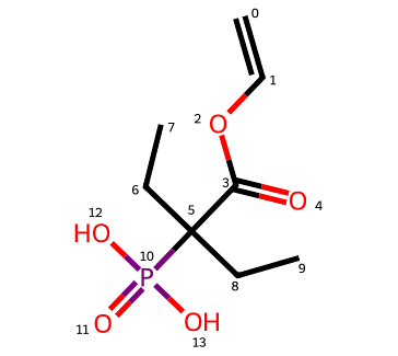 C=COC(=O)C(CC)(CC)P(=O)(O)O